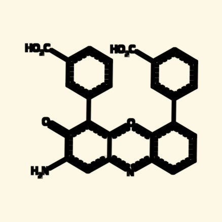 Nc1cc2nc3cccc(-c4cccc(C(=O)O)c4)c3oc-2c(-c2cccc(C(=O)O)c2)c1=O